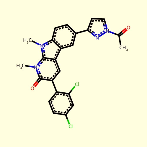 CC(=O)n1ccc(-c2ccc3c(c2)c2cc(-c4ccc(Cl)cc4Cl)c(=O)n(C)c2n3C)n1